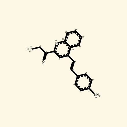 NCC(=O)c1cc(C=Cc2ccc(N)cc2)c2ccccc2n1